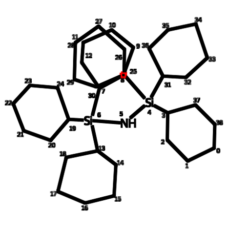 C1CCC([Si](N[Si](C2CCCCC2)(C2CCCCC2)C2CCCCC2)(C2CCCCC2)C2CCCCC2)CC1